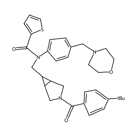 CC(C)(C)c1ccc(C(=O)N2CC3C(C2)C3CN(C(=O)c2cccs2)c2ccc(CN3CCOCC3)cc2)cc1